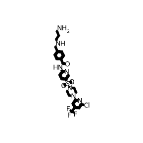 NCCCNCc1ccc(C(=O)Nc2ccc(S(=O)(=O)N3CCN(c4cc(C(F)(F)F)cc(Cl)n4)CC3)cn2)cc1